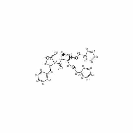 CCCCC[C@@H](C(=O)N1C(=O)OC[C@@H]1Cc1ccccc1)/C(COCc1ccccc1)=N/OCc1ccccc1